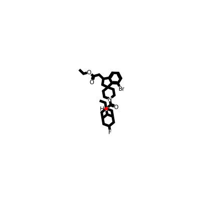 CCOC(=O)CC1CC2(CCN(C(=O)NC3C4CC(F)CC3CC(CC)C4)CC2)c2c(Br)cccc21